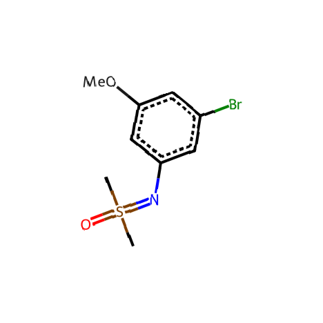 COc1cc(Br)cc(N=S(C)(C)=O)c1